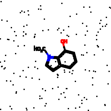 O=C(O)n1ccc2cccc(O)c21